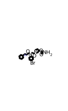 NC(=O)O[C@H]1CCN(C(=O)CN(C(=O)/C=C/c2ccccc2)c2ccc(Br)cc2)C1